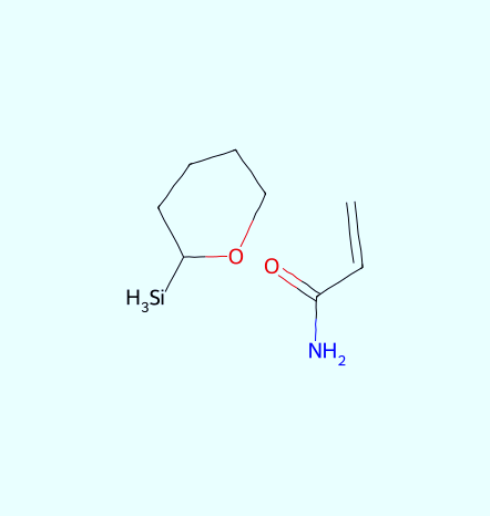 C=CC(N)=O.[SiH3]C1CCCCO1